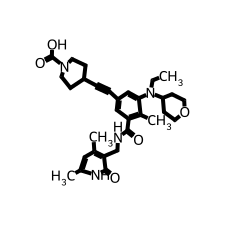 CCN(c1cc(C#CC2CCN(C(=O)O)CC2)cc(C(=O)NCc2c(C)cc(C)[nH]c2=O)c1C)C1CCOCC1